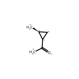 CC(=O)C1C[C@@H]1C